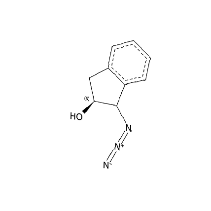 [N-]=[N+]=NC1c2ccccc2C[C@@H]1O